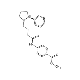 COC(=O)c1ccc(NC(=O)CCCN2CCC[C@H]2c2cccnc2)cc1